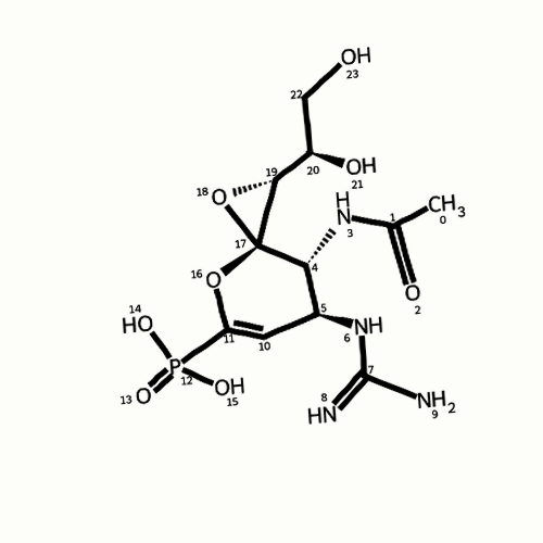 CC(=O)N[C@@H]1[C@@H](NC(=N)N)C=C(P(=O)(O)O)O[C@]12O[C@@H]2[C@H](O)CO